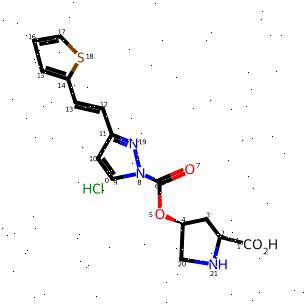 Cl.O=C(O)C1C[C@H](OC(=O)n2ccc(/C=C/c3cccs3)n2)CN1